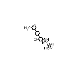 Cc1cncc(-c2ccc(-c3cc4[nH]c(SCP(=O)(O)O)nc4cc3Cl)cc2)c1